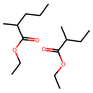 CCCC(C)C(=O)OCC.CCOC(=O)C(C)CC